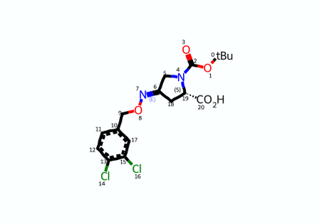 CC(C)(C)OC(=O)N1C/C(=N/OCc2ccc(Cl)c(Cl)c2)C[C@H]1C(=O)O